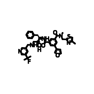 Cc1csc(CN(C)C(=O)c2cc(C(=O)N[C@@H](Cc3ccccc3)[C@H](O)CNCc3cncc(C(C)(C)F)c3)cc(-c3ccoc3)c2)n1